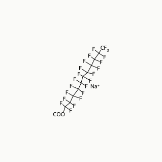 O=C([O-])C(F)(F)C(F)(F)C(F)(F)C(F)(F)C(F)(F)C(F)(F)C(F)(F)C(F)(F)C(F)(F)C(F)(F)C(F)(F)F.[Na+]